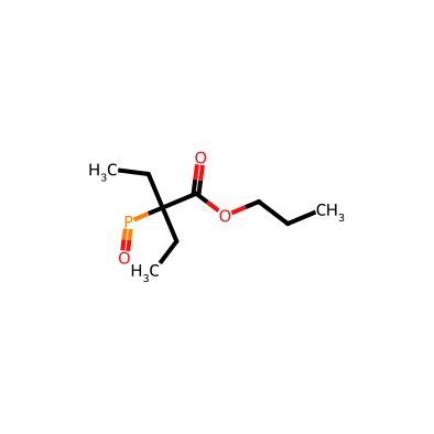 CCCOC(=O)C(CC)(CC)P=O